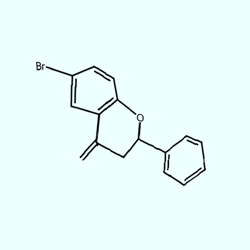 C=C1CC(c2ccccc2)Oc2ccc(Br)cc21